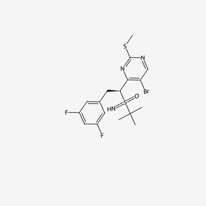 CSc1ncc(Br)c([C@H](Cc2cc(F)cc(F)c2)S(=N)(=O)C(C)(C)C)n1